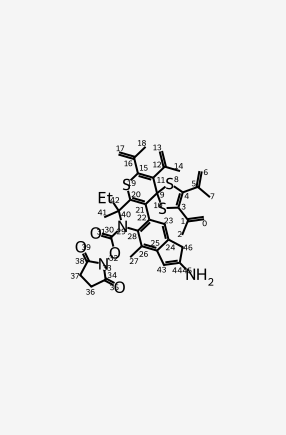 C=C(C)C1=C(C(=C)C)SC2(S1)C(C(=C)C)=C(C(=C)C)SC1=C2c2cc3c(c(C)c2N(C(=O)ON2C(=O)CCC2=O)C1(C)CC)C=C(N)C3